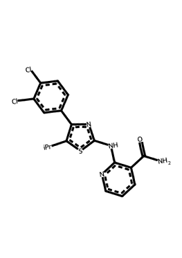 CC(C)c1sc(Nc2ncccc2C(N)=O)nc1-c1ccc(Cl)c(Cl)c1